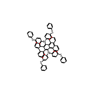 c1ccc(Sc2ccc(N(c3ccc(Sc4ccccc4)cc3)c3c4c5ccccc5c5ccccc5c4c(N(c4ccc(Sc5ccccc5)cc4)c4ccc(Sc5ccccc5)cc4)c4c5ccccc5c5ccccc5c34)cc2)cc1